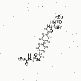 CC(C)C(NC(=O)C(C)(C)C)c1ncc(-c2ccc(-c3ccc(-c4cnc(CNC(=O)C(C)(C)C)o4)cc3)cc2)o1